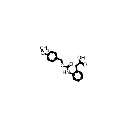 COc1ccc(COC(=O)Nc2ccccc2CC(=O)O)cc1